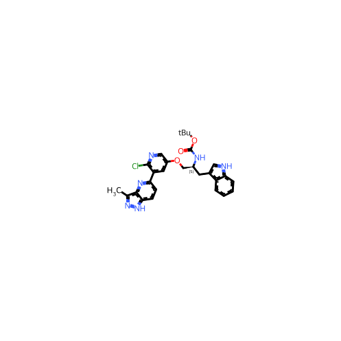 Cc1n[nH]c2ccc(-c3cc(OC[C@H](Cc4c[nH]c5ccccc45)NC(=O)OC(C)(C)C)cnc3Cl)nc12